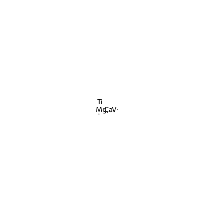 [Ca].[Mg].[Ti].[V]